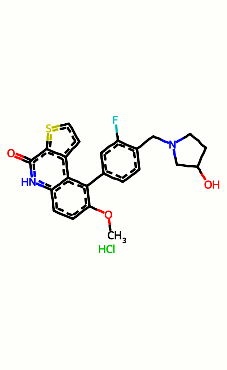 COc1ccc2[nH]c(=O)c3sccc3c2c1-c1ccc(CN2CCC(O)C2)c(F)c1.Cl